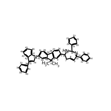 CC1(C)c2cc(C3C/C=C/C(c4ccccc4)=N\C(c4ccccc4)N3)ccc2-c2ccc(-n3cc(-c4ccccc4)c4ccccc43)cc21